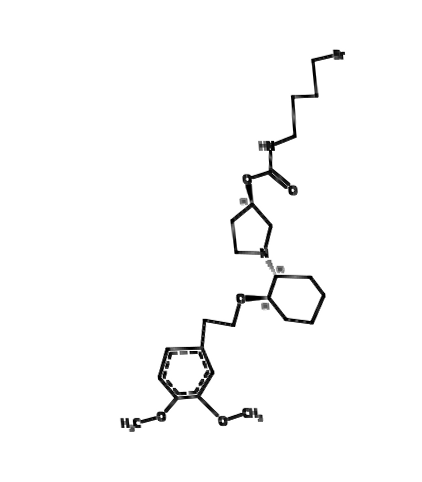 COc1ccc(CCO[C@@H]2CCCC[C@H]2N2CC[C@@H](OC(=O)NCCCCBr)C2)cc1OC